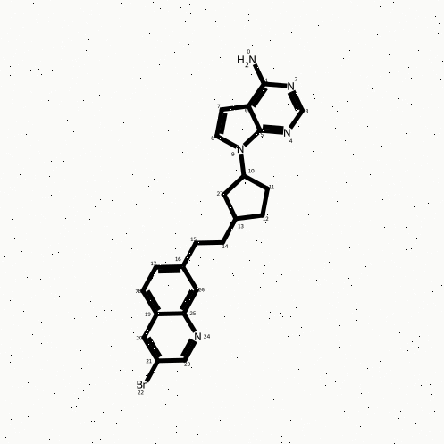 Nc1ncnc2c1ccn2C1CCC(CCc2ccc3cc(Br)cnc3c2)C1